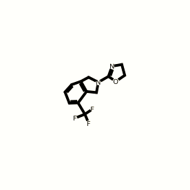 FC(F)(F)c1cccc2c1CN(C1=NCCO1)C2